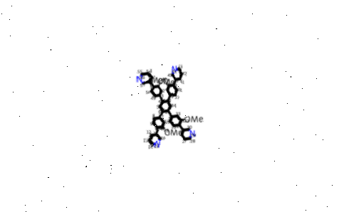 COc1cc(-c2cc(-c3ccc(-c4cccnc4)c(OC)c3)c(-c3ccc(-c4cccnc4)c(OC)c3)cc2-c2ccc(-c3cccnc3)c(OC)c2)ccc1-c1cccnc1